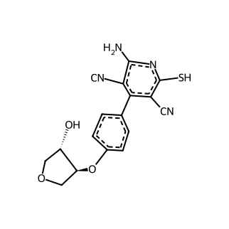 [C-]#[N+]c1c(N)nc(S)c(C#N)c1-c1ccc(O[C@H]2COC[C@@H]2O)cc1